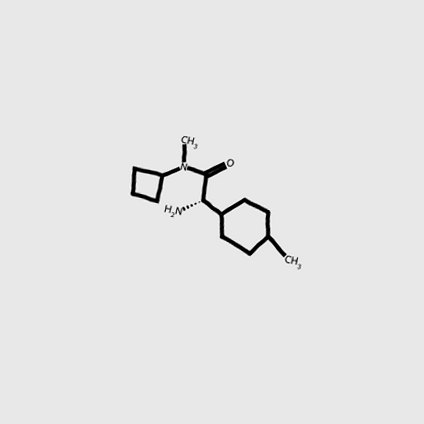 CC1CCC([C@H](N)C(=O)N(C)C2CCC2)CC1